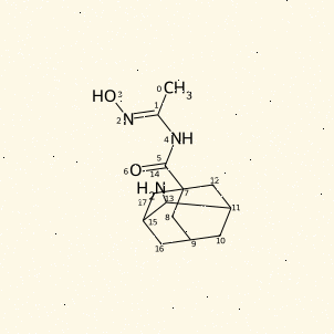 CC(=NO)NC(=O)C12CC3CC(C1)C(N)C(C3)C2